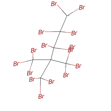 Br[C](Br)C(Br)(Br)C(Br)(Br)C(C(Br)(Br)Br)(C(Br)(Br)Br)C(Br)(Br)Br